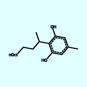 CCCCCCCCCCC(C)c1c(O)cc(C)cc1O